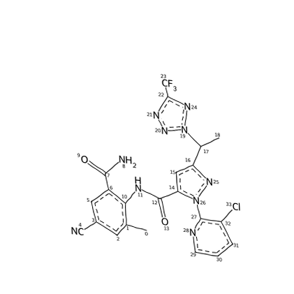 Cc1cc(C#N)cc(C(N)=O)c1NC(=O)c1cc(C(C)n2nnc(C(F)(F)F)n2)nn1-c1ncccc1Cl